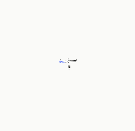 C=C=N.[Ni]